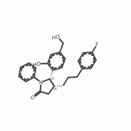 O=C1C[C@@H](CCCc2ccc(F)cc2)[C@@H](c2ccc(CO)cc2O)N1c1ccccc1